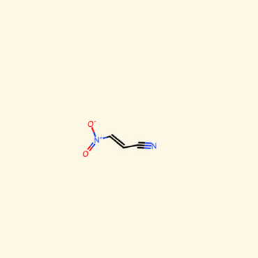 N#CC=C[N+](=O)[O-]